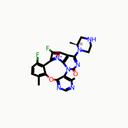 Cc1ccc(F)c2c1oc1ncnc(C)c1n1c(=O)nc(N3CCNC[C@@H]3C)c3cc(F)c2[n+]([O-])c31